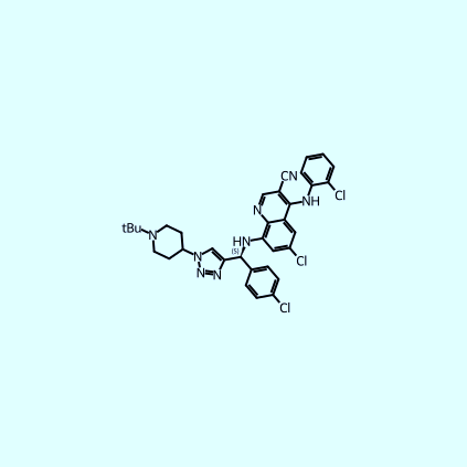 CC(C)(C)N1CCC(n2cc([C@@H](Nc3cc(Cl)cc4c(Nc5ccccc5Cl)c(C#N)cnc34)c3ccc(Cl)cc3)nn2)CC1